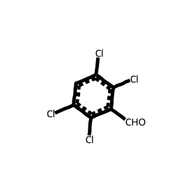 O=Cc1c(Cl)c(Cl)cc(Cl)c1Cl